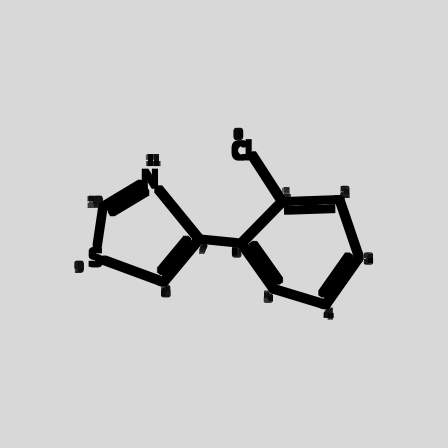 Clc1ccccc1-c1cscn1